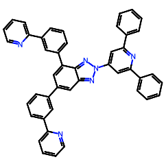 c1ccc(-c2cc(-n3nc4cc(-c5cccc(-c6ccccn6)c5)cc(-c5cccc(-c6ccccn6)c5)c4n3)cc(-c3ccccc3)n2)cc1